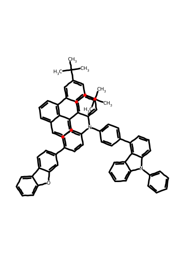 CC(C)(C)c1cc(-c2cccc3cccc(-c4ccccc4N(c4ccc(-c5ccc6c(c5)oc5ccccc56)cc4)c4ccc(-c5cccc6c5c5ccccc5n6-c5ccccc5)cc4)c23)cc(C(C)(C)C)c1